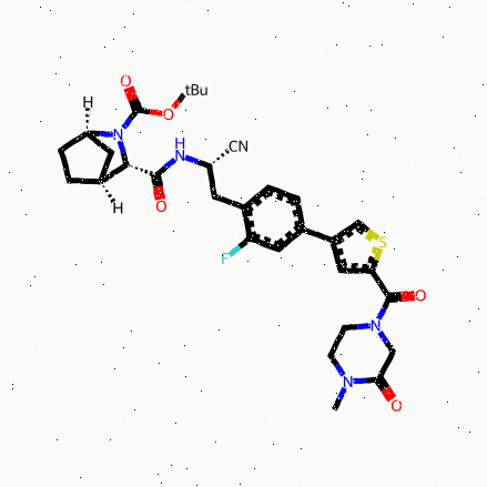 CN1CCN(C(=O)c2cc(-c3ccc(C[C@@H](C#N)NC(=O)[C@@H]4[C@H]5CC[C@H](C5)N4C(=O)OC(C)(C)C)c(F)c3)cs2)CC1=O